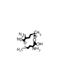 CSCCC(N)C(=O)O.C[S+]([O-])CCC(N)C(=O)O